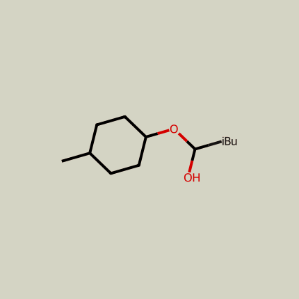 CCC(C)C(O)OC1CCC(C)CC1